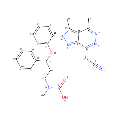 Cc1nnc(CC#N)c2nn(-c3ccccc3OC(CCN(C)C(=O)O)c3ccccc3)c(C)c12